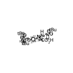 CC(C)(C)OC(=O)NCCNC1=NC(c2ccc(OCC(O[Si](C)(C)C(C)(C)C)C(=O)OC(C)(C)C)cc2)CN1C(=O)O